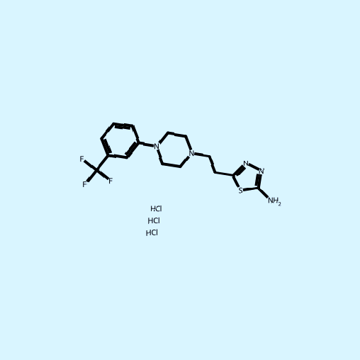 Cl.Cl.Cl.Nc1nnc(CCN2CCN(c3cccc(C(F)(F)F)c3)CC2)s1